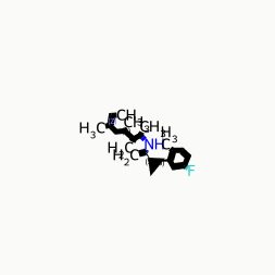 C=C(C(C)NC(=C)[C@H]1C[C@@H]1c1cc(F)ccc1C)[C@H](C)C/C(C)=C\C